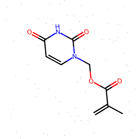 C=C(C)C(=O)OCn1ccc(=O)[nH]c1=O